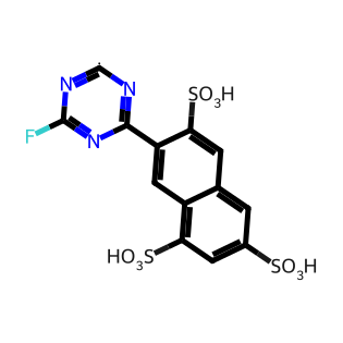 O=S(=O)(O)c1cc(S(=O)(=O)O)c2cc(-c3n[c]nc(F)n3)c(S(=O)(=O)O)cc2c1